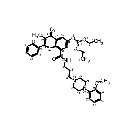 CCOP(OCC)Oc1cc(C(=O)NCCCN2CCN(c3ccccc3OC)CC2)c2oc(-c3ccccc3)c(C)c(=O)c2c1